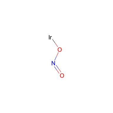 O=N[O][Ir]